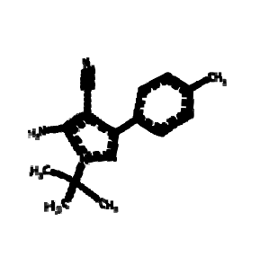 Cc1ccc(-c2cn(C(C)(C)C)c(N)c2C#N)cc1